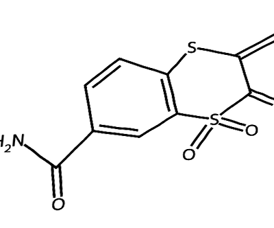 C=C1Sc2ccc(C(N)=O)cc2S(=O)(=O)C1=O